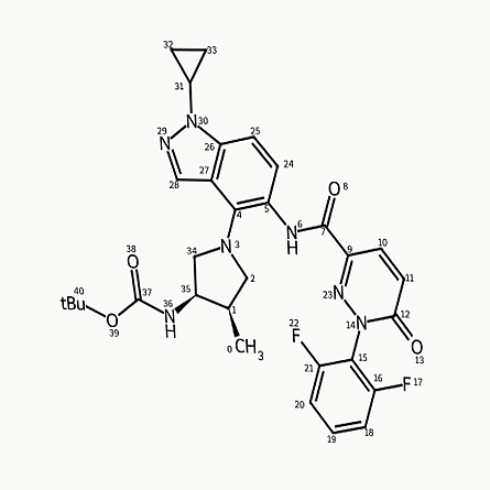 C[C@@H]1CN(c2c(NC(=O)c3ccc(=O)n(-c4c(F)cccc4F)n3)ccc3c2cnn3C2CC2)C[C@@H]1NC(=O)OC(C)(C)C